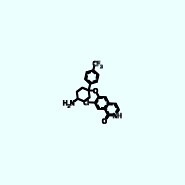 NC1CCC(Oc2cc3cc[nH]c(=O)c3cc2Cl)(c2ccc(C(F)(F)F)cc2)CC1